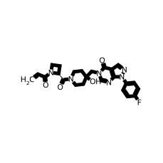 C=CC(=O)N1CC[C@@H]1C(=O)N1CCC(O)(Cn2cnc3c(cnn3-c3ccc(F)cc3)c2=O)CC1